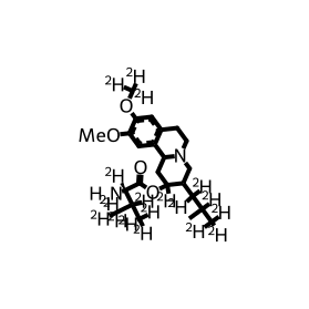 [2H]C([2H])([2H])Oc1cc2c(cc1OC)C1CC([2H])(OC(=O)[C@@]([2H])(N)C([2H])(C([2H])([2H])[2H])C([2H])([2H])[2H])C(C([2H])([2H])C([2H])(C)C([2H])([2H])[2H])CN1CC2